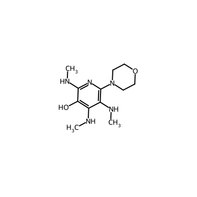 CNc1nc(N2CCOCC2)c(NC)c(NC)c1O